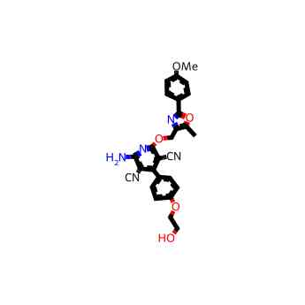 [C-]#[N+]c1c(N)nc(OCc2nc(-c3ccc(OC)cc3)oc2C)c(C#N)c1-c1ccc(OCCO)cc1